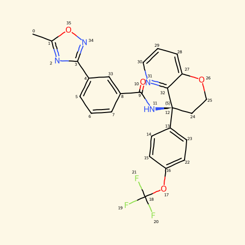 Cc1nc(-c2cccc(C(=O)N[C@]3(c4ccc(OC(F)(F)F)cc4)CCOc4cccnc43)c2)no1